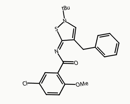 COc1ccc(Cl)cc1C(=O)N=c1sn(C(C)(C)C)cc1Cc1ccccc1